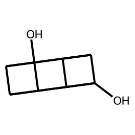 OC12C3C4C1C1C2C3C41O